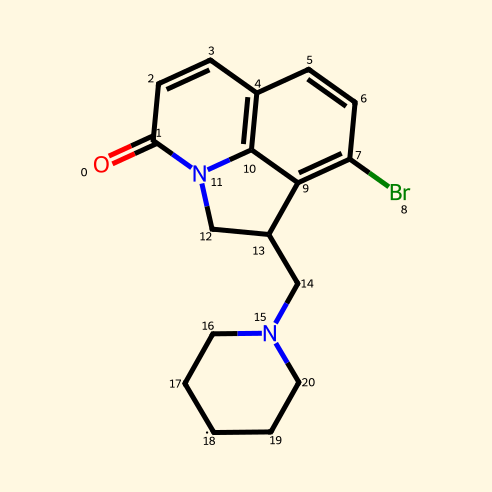 O=c1ccc2ccc(Br)c3c2n1CC3CN1CC[CH]CC1